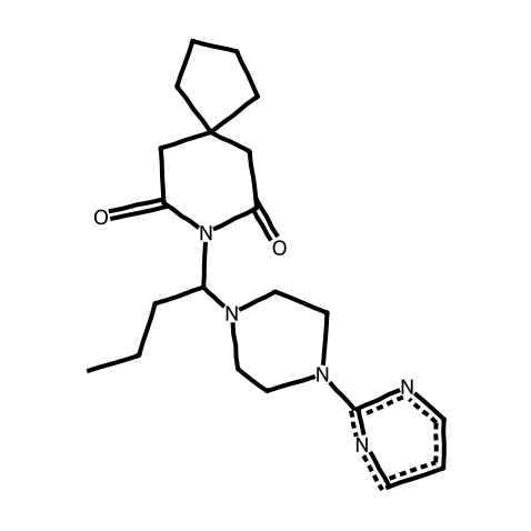 CCCC(N1CCN(c2ncccn2)CC1)N1C(=O)CC2(CCCC2)CC1=O